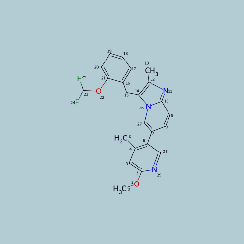 COc1cc(C)c(-c2ccc3nc(C)c(Cc4ccccc4OC(F)F)n3c2)cn1